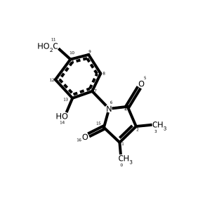 CC1=C(C)C(=O)N(c2ccc(C(=O)O)cc2O)C1=O